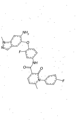 Cc1ccc(C(=O)Nc2ccc(Oc3cc4cnn(C)c4cc3N)c(F)c2)c(=O)n1-c1ccc(F)cc1